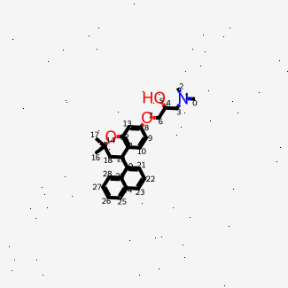 CN(C)CC(O)COc1ccc2c(c1)OC(C)(C)CC2c1cccc2ccccc12